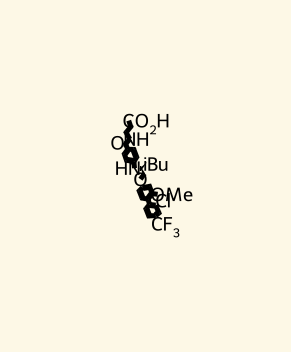 CC[C@H](C)[C@@H](COc1ccc(-c2ccc(C(F)(F)F)cc2Cl)c(OC)c1)Nc1ccc(C(=O)NCCC(=O)O)cc1